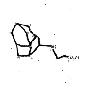 O=C(O)CNC1C2CC3CC(C2)CC1C3